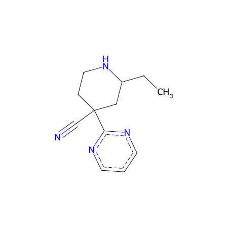 CCC1CC(C#N)(c2ncccn2)CCN1